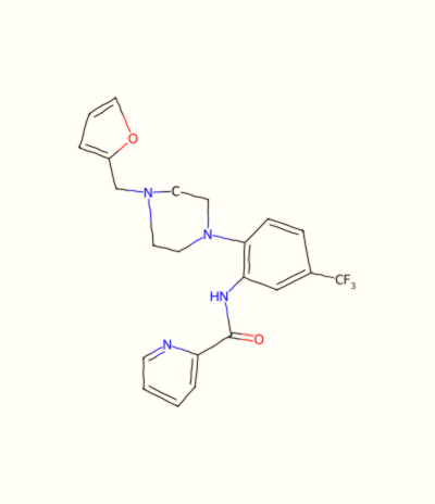 O=C(Nc1cc(C(F)(F)F)ccc1N1CCN(Cc2ccco2)CC1)c1ccccn1